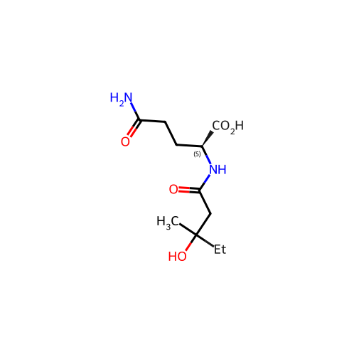 CCC(C)(O)CC(=O)N[C@@H](CCC(N)=O)C(=O)O